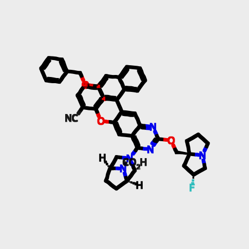 N#Cc1ccccc1Oc1cc2c(N3C[C@H]4CC[C@@H](C3)N4C(=O)O)nc(OC[C@@]34CCCN3C[C@H](F)C4)nc2cc1-c1cc(OCc2ccccc2)cc2ccccc12